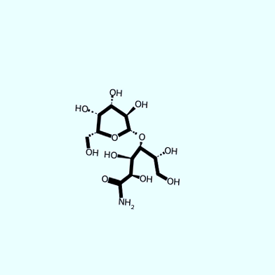 NC(=O)[C@H](O)[C@@H](O)[C@H](O[C@@H]1O[C@H](CO)[C@H](O)[C@H](O)[C@H]1O)[C@H](O)CO